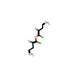 C=CCC(F)=C(Br)OC(Br)=C(F)CC=C